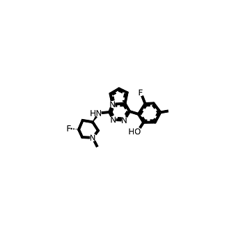 Cc1cc(O)c(-c2nnc(N[C@@H]3C[C@@H](F)CN(C)C3)n3cccc23)c(F)c1